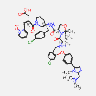 C[C@H](NCc1ccc(Cl)cc1Oc1ccc(-c2cnc(CN(C)C)n2C)cc1)C(=O)N1[C@H](C(=O)N[C@@]2(Cc3ccc(Cl)cc3)CCCN(C(=O)[C@@H](CC(=O)O)Cc3cccc[n+]3[O-])C2)COC1(C)C